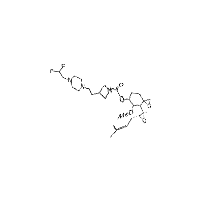 COC1C(OC(=O)N2CC(CCN3CCN(CC(F)F)CC3)C2)CCC2(CO2)C1[C@@]1(C)O[C@@H]1CC=C(C)C